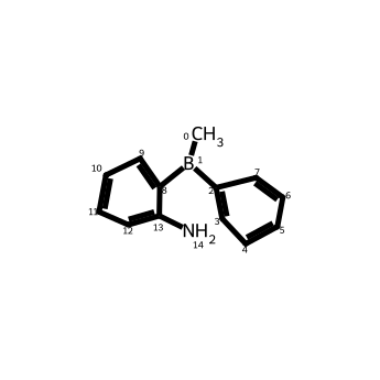 CB(c1ccccc1)c1ccccc1N